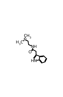 CN(C)CCNC(=O)Cc1c[nH]c2ccccc12